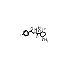 CC(C)[C@@H]1CC[C@@H](C)C[C@@]1(O)C(=O)NCC(=O)c1ccc(F)cc1